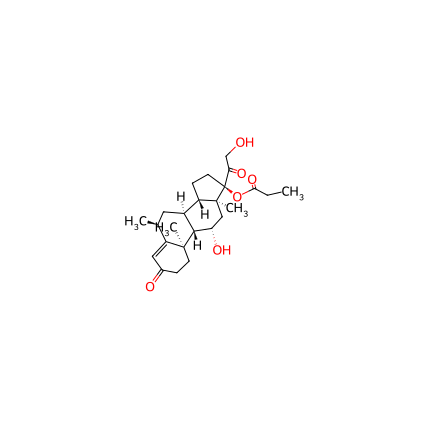 CCC(=O)O[C@]1(C(=O)CO)CC[C@H]2[C@@H]3C[C@H](C)C4=CC(=O)CC[C@]4(C)[C@H]3[C@@H](O)C[C@@]21C